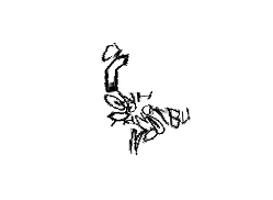 Cc1ccc(S(=O)(=O)Nc2ccc(Cl)cc2)cc1C[C@H](NC(=O)OC(C)(C)C)C(=O)N(C)C